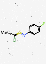 COC(Cl)=S=Nc1ccc(F)cc1